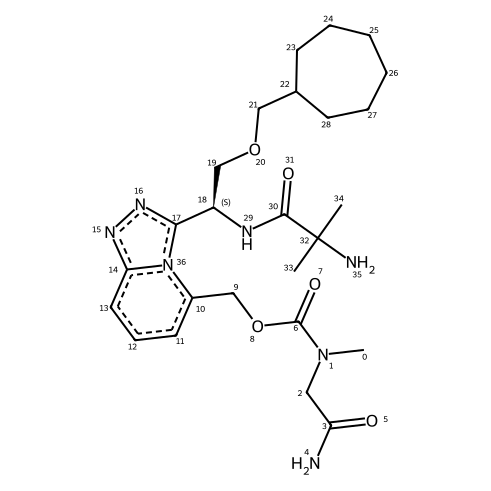 CN(CC(N)=O)C(=O)OCc1cccc2nnc([C@@H](COCC3CCCCCC3)NC(=O)C(C)(C)N)n12